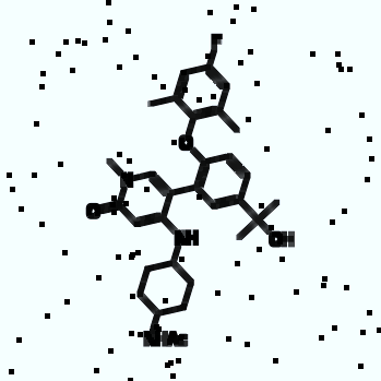 CC(=O)NC1CCC(Nc2cc(=O)n(C)cc2-c2cc(C(C)(C)O)ccc2Oc2c(C)cc(F)cc2C)CC1